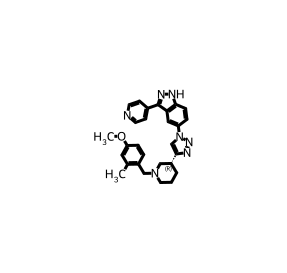 COc1ccc(CN2CCC[C@@H](c3cn(-c4ccc5[nH]nc(-c6ccncc6)c5c4)nn3)C2)c(C)c1